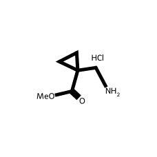 COC(=O)C1(CN)CC1.Cl